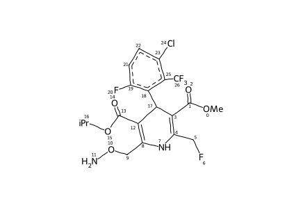 COC(=O)C1=C(CF)NC(CON)=C(C(=O)OC(C)C)C1c1c(F)ccc(Cl)c1C(F)(F)F